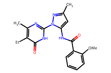 CCc1c(C)nc(-n2nc(C)cc2NC(=O)c2ccccc2OC)[nH]c1=O